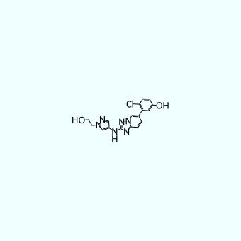 OCCn1cc(Nc2nc3ccc(-c4cc(O)ccc4Cl)cn3n2)cn1